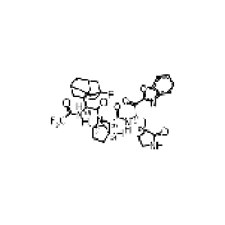 O=C1NCC[C@H]1C[C@H](NC(=O)[C@@H]1[C@H]2CC[C@H](C2)N1C(=O)[C@@H](NC(=O)C(F)(F)F)C12CC3CC(CC(F)(C3)C1)C2)C(=O)c1nc2ccccc2o1